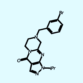 CC(C)n1ncc2c(=O)n3c(nc21)CN(Cc1cccc(Br)c1)CC3